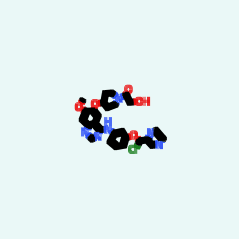 COc1cc2ncnc(Nc3cccc(OC(Cl)c4cnccn4)c3)c2cc1OC1CCN(C(=O)CO)CC1